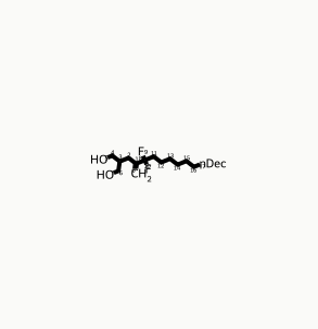 C=C(CC(CO)CO)C(F)(F)CCCCCCCCCCCCCCCC